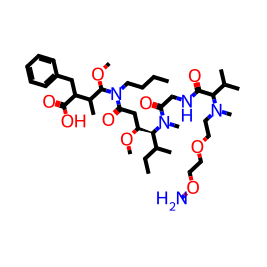 CCCCN(C(=O)CC(OC)[C@H](C(C)CC)N(C)C(=O)CNC(=O)C(C(C)C)N(C)CCOCCON)C(OC)C(C)C(Cc1ccccc1)C(=O)O